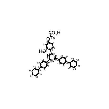 CC(Oc1ccc(-c2nc(-c3ccc(C4=CCCC=C4)cc3)nc(-c3ccc(-c4ccccc4)cc3)n2)c(O)c1)C(=O)O